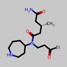 CCC(=O)CCN(C(=O)C[C@@H](C)CC(N)=O)C1CCCNCC1